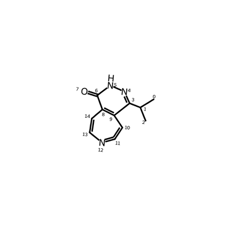 CC(C)c1n[nH]c(=O)c2c1C=C=NC=C2